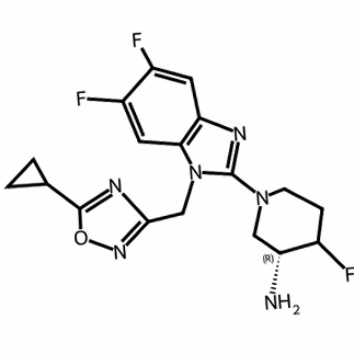 N[C@@H]1CN(c2nc3cc(F)c(F)cc3n2Cc2noc(C3CC3)n2)CCC1F